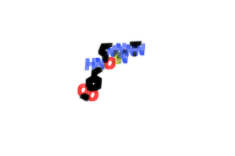 O=C(NCCc1ccc2c(c1)OCCO2)C1CCCN1c1nc(-n2ccnc2)ns1